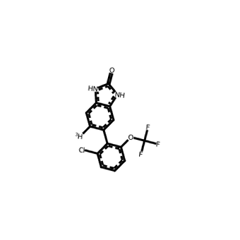 [3H]c1cc2[nH]c(=O)[nH]c2cc1-c1c(Cl)cccc1OC(F)(F)F